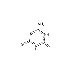 O=c1cc[nH]c(=O)[nH]1.[SiH4]